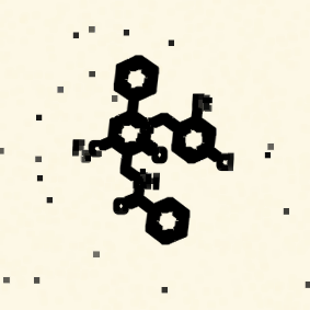 CCc1cc(Cl)ccc1Cn1c(-c2ccccc2)cc(C(F)(F)F)c(CNC(=O)c2ccccc2)c1=O